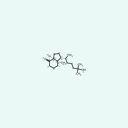 CC(CCCC(C)(C)O)[C@H]1CC[C@@H]2C(=O)CCC[C@@]21C